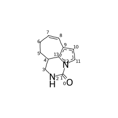 O=C1NCC2CCC=Cc3ccn1c32